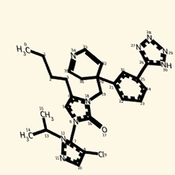 CCCCc1cn(-c2c(Cl)cnn2C(C)C)c(=O)n1CC1(c2cccc(-c3nnn[nH]3)c2)C=CN=CC1